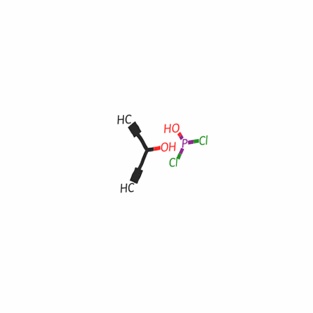 C#CC(O)C#C.OP(Cl)Cl